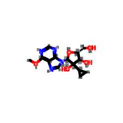 COc1ncnc2c1ncn2[C@@H]1O[C@H](CO)[C@@H](O)[C@]1(O)C1CC1